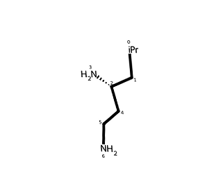 CC(C)C[C@@H](N)CCN